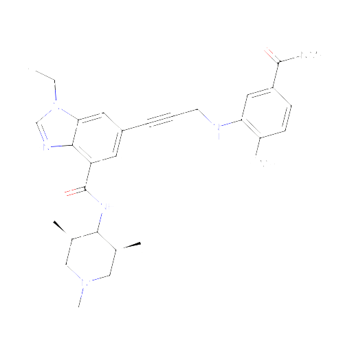 CNC(=O)c1ccc(OC)c(NCC#Cc2cc(C(=O)NC3[C@H](C)CN(C)C[C@@H]3C)c3ncn(CC(F)(F)F)c3c2)c1